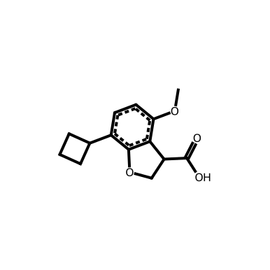 COc1ccc(C2CCC2)c2c1C(C(=O)O)CO2